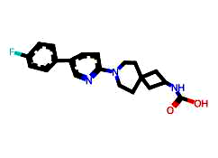 O=C(O)NC1CC2(CCN(c3ccc(-c4ccc(F)cc4)cn3)CC2)C1